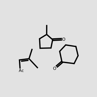 CC(=O)C=C(C)C.CC1CCCC1=O.O=C1CCCCC1